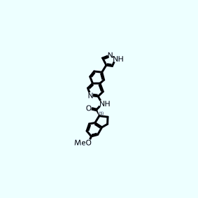 COc1ccc2c(c1)CC[C@@H]2C(=O)Nc1cc2cc(-c3cn[nH]c3)ccc2cn1